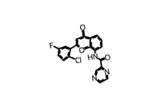 O=C(Nc1cccc2c(=O)cc(-c3cc(F)ccc3Cl)oc12)c1cnccn1